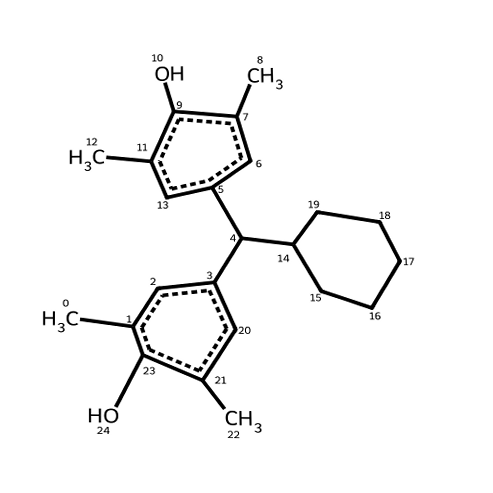 Cc1cc(C(c2cc(C)c(O)c(C)c2)C2CCCCC2)cc(C)c1O